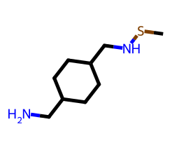 CSNCC1CCC(CN)CC1